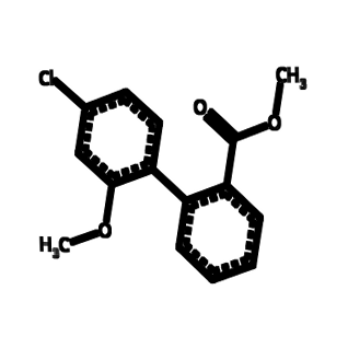 COC(=O)c1ccccc1-c1ccc(Cl)cc1OC